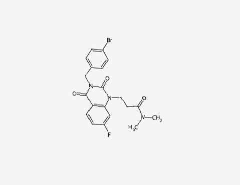 CN(C)C(=O)CCn1c(=O)n(Cc2ccc(Br)cc2)c(=O)c2ccc(F)cc21